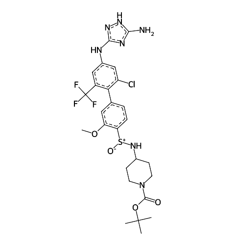 COc1cc(-c2c(Cl)cc(Nc3n[nH]c(N)n3)cc2C(F)(F)F)ccc1[S+]([O-])NC1CCN(C(=O)OC(C)(C)C)CC1